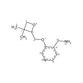 CC1(C)COC1COc1cnccc1CN